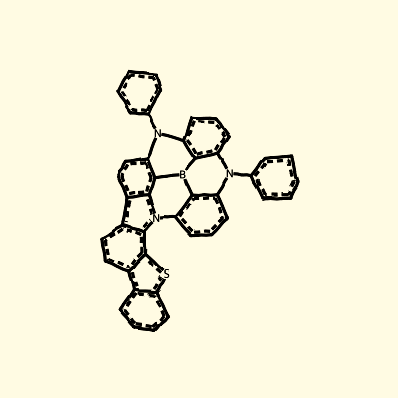 c1ccc(N2c3cccc4c3B3c5c2cccc5-n2c5c3c(ccc5c3ccc5c6ccccc6sc5c32)N4c2ccccc2)cc1